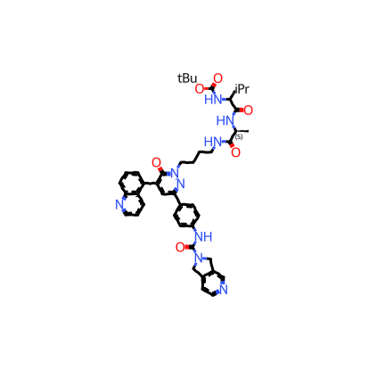 CC(C)C(NC(=O)OC(C)(C)C)C(=O)N[C@@H](C)C(=O)NCCCCn1nc(-c2ccc(NC(=O)N3Cc4ccncc4C3)cc2)cc(-c2cccc3ncccc23)c1=O